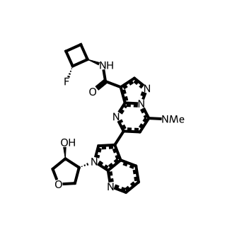 CNc1cc(-c2cn([C@@H]3COC[C@H]3O)c3ncccc23)nc2c(C(=O)N[C@@H]3CC[C@H]3F)cnn12